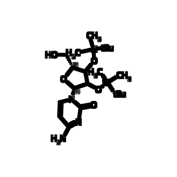 CC(C)(C)[Si](C)(C)OC1C(O[Si](C)(C)C(C)(C)C)[C@@H](CO)O[C@H]1n1ccc(N)nc1=O